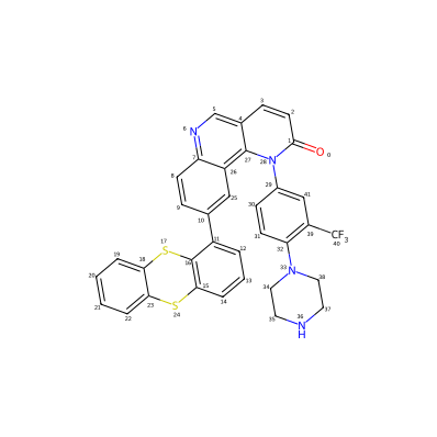 O=c1ccc2cnc3ccc(-c4cccc5c4Sc4ccccc4S5)cc3c2n1-c1ccc(N2CCNCC2)c(C(F)(F)F)c1